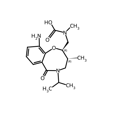 CC(C)N1C[C@@H](C)[C@H](CN(C)C(=O)O)Oc2c(N)cccc2C1=O